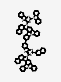 c1ccc2cc(-c3nc(-n4c5ccc6ccccc6c5c5c6c7ccccc7n7c8ccccc8c(cc54)c67)c4sc5ccc(-c6ccc7c8c9c%10c%11ccccc%11ccc%10n(-c%10nc(-n%11c%12ccccc%12c%12ccccc%12%11)nc%11c%10sc%10ccccc%10%11)c9cc9c%10ccccc%10n(c7c6)c98)cc5c4n3)ccc2c1